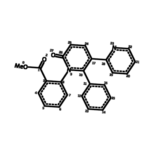 COC(=O)c1ccccc1-n1c(-c2ccccc2)c(-c2ccccn2)ccc1=O